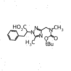 Cc1nc(CN(C)C(=O)OC(C)(C)C)nn1C(Cc1ccccc1)C(=O)O